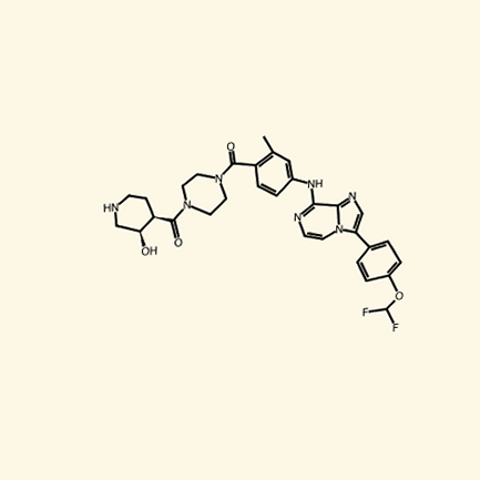 Cc1cc(Nc2nccn3c(-c4ccc(OC(F)F)cc4)cnc23)ccc1C(=O)N1CCN(C(=O)[C@@H]2CCNC[C@@H]2O)CC1